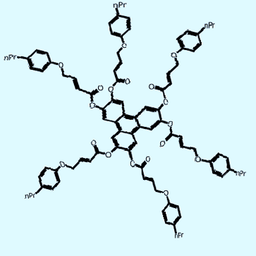 CCCc1ccc(OC/C=C/C(=O)Oc2cc3c4cc(OC(=O)/C=C/COc5ccc(CCC)cc5)c(OC(=O)/C=C/COc5ccc(CCC)cc5)cc4c4cc(OC(=O)/C=C/COc5ccc(CCC)cc5)c(OC(=O)/C=C/COc5ccc(CCC)cc5)cc4c3cc2OC(=O)/C=C/COc2ccc(CCC)cc2)cc1